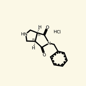 Cl.O=C1[C@H]2CNC[C@H]2C(=O)N1Cc1ccccc1